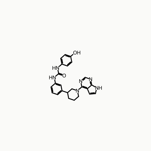 O=C(Nc1ccc(O)cc1)Nc1cccc(C2CCCN(c3ncnc4[nH]ccc34)C2)c1